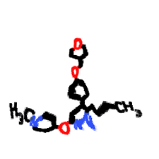 CCCCc1nnc(OC2CCN(C)CC2)cc1-c1ccc(OCC2CCOCC2)cc1